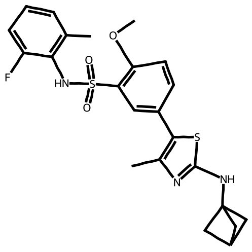 COc1ccc(-c2sc(NC34CC(C3)C4)nc2C)cc1S(=O)(=O)Nc1c(C)cccc1F